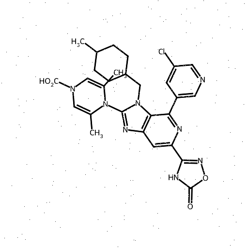 CC1=CN(C(=O)O)C=C(C)N1c1nc2cc(-c3noc(=O)[nH]3)nc(-c3cncc(Cl)c3)c2n1CC1CCC(C)CC1